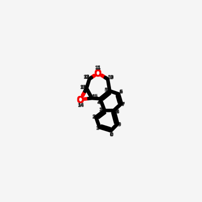 c1ccc2c3c(ccc2c1)COCC1OC31